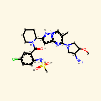 COC1CN(c2nc3cc([C@@H]4CCCCN4C(=O)c4cc(Cl)ccc4NS(C)(=O)=O)nn3cc2C)CC1N